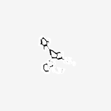 Cc1cccc(F)c1-c1cc(NC[C@H]2CCCCN2C(=O)O)c2cc(N)ncc2c1